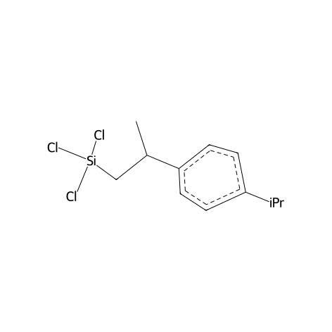 CC(C)c1ccc(C(C)C[Si](Cl)(Cl)Cl)cc1